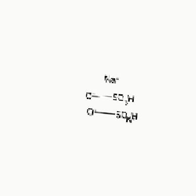 O=S(=O)([O-])O.O=S(=O)([O-])O.[K+].[Na+]